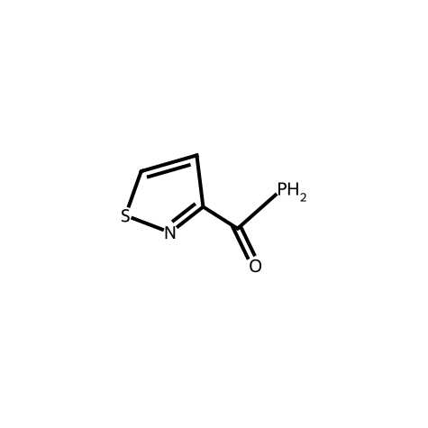 O=C(P)c1ccsn1